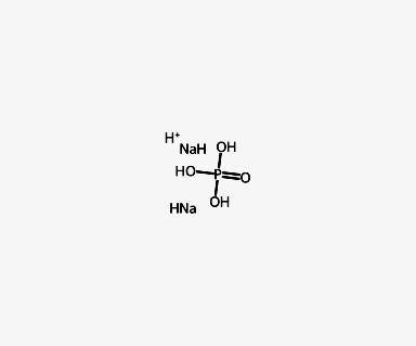 O=P(O)(O)O.[H+].[NaH].[NaH]